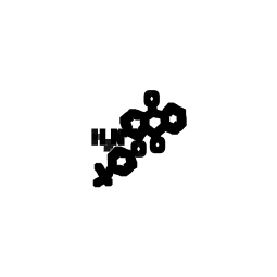 CC(C)(C)c1ccc(Oc2c(N)ccc3c2C(=O)c2ccccc2C3=O)cc1